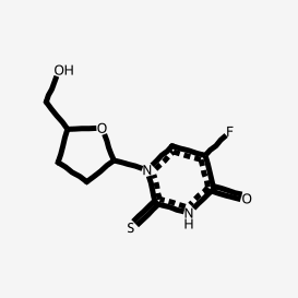 O=c1[nH]c(=S)n(C2CCC(CO)O2)cc1F